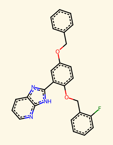 Fc1ccccc1COc1ccc(OCc2ccccc2)cc1-c1nc2cccnc2[nH]1